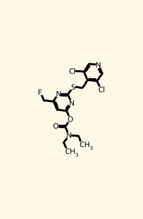 CCN(CC)C(=O)Oc1cc(CF)nc(SCc2c(Cl)cncc2Cl)n1